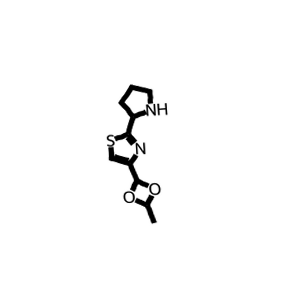 CC1OC(c2csc(C3CCCN3)n2)O1